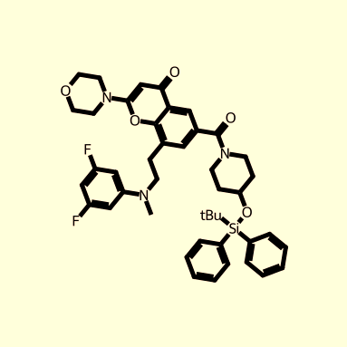 CN(CCc1cc(C(=O)N2CCC(O[Si](c3ccccc3)(c3ccccc3)C(C)(C)C)CC2)cc2c(=O)cc(N3CCOCC3)oc12)c1cc(F)cc(F)c1